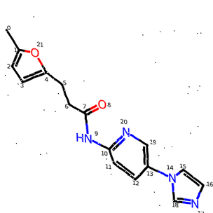 Cc1ccc(CCC(=O)Nc2ccc(-n3ccnc3)cn2)o1